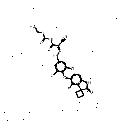 CCOC(=O)NC(=O)C(C#N)=NNc1cc(Cl)c(Oc2ccc3c(c2F)C2(CCC2)C(=O)N3)c(Cl)c1